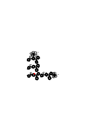 [F][Sb-]([F])([F])([F])([F])[F].[O]=[Sb]([O-])([O-])[O-].c1ccc(Sc2ccc([S+](c3ccccc3)c3ccccc3)cc2)cc1.c1ccc(Sc2ccc([S+](c3ccccc3)c3ccccc3)cc2)cc1.c1ccc(Sc2ccc([S+](c3ccccc3)c3ccccc3)cc2)cc1.c1ccc(Sc2ccc([S+](c3ccccc3)c3ccccc3)cc2)cc1